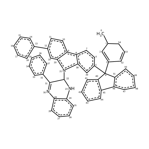 CC1C=C(C2(c3ccc4c5ccc(-c6ccccc6)cc5n(C5Nc6ccccc6N=C5c5ccccc5)c4c3)c3ccccc3-c3ccccc32)C=CC1